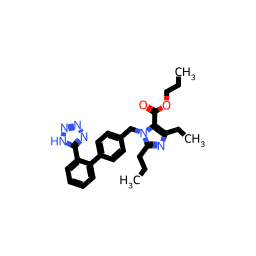 CCCOC(=O)c1c(CC)nc(CCC)n1Cc1ccc(-c2ccccc2-c2nnn[nH]2)cc1